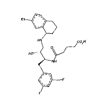 CCc1ccc2c(c1)C(NC[C@@H](O)[C@H](Cc1cc(F)cc(F)c1)NC(=O)CCCC(=O)O)CCC2